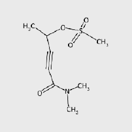 CC(C#CC(=O)N(C)C)OS(C)(=O)=O